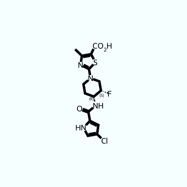 Cc1nc(N2CC[C@@H](NC(=O)c3cc(Cl)c[nH]3)[C@@H](F)C2)sc1C(=O)O